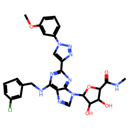 CNC(=O)C1OC(n2cnc3c(NCc4cccc(Cl)c4)nc(-c4cn(-c5cccc(OC)c5)nn4)nc32)C(O)C1O